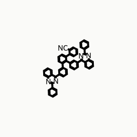 N#Cc1ccccc1-c1cccc(-c2cccc(-c3nc(-c4ccccc4)nc4ccccc34)c2)c1-c1cccc(-c2nc(-c3ccccc3)nc3ccccc23)c1